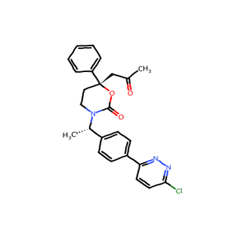 CC(=O)C[C@]1(c2ccccc2)CCN([C@@H](C)c2ccc(-c3ccc(Cl)nn3)cc2)C(=O)O1